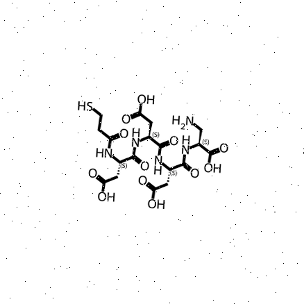 NC[C@H](NC(=O)[C@H](CC(=O)O)NC(=O)[C@H](CC(=O)O)NC(=O)[C@H](CC(=O)O)NC(=O)CCS)C(=O)O